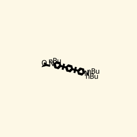 CCCCN(CCCC)c1ccc(C(C)(C)c2ccc(C(C)(C)c3ccc(N(CCCC)CC4CO4)cc3)cc2)cc1